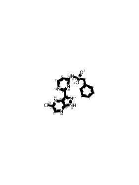 O=S(=O)(Cc1ccccc1)Nc1ccnc(-c2n[nH]c3ncc(Cl)nc23)n1